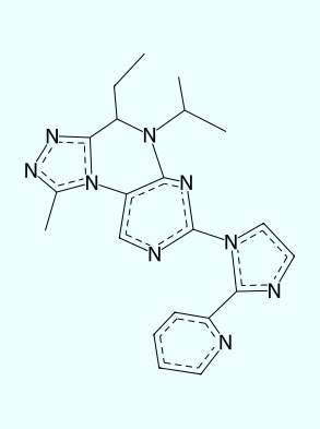 CCC1c2nnc(C)n2-c2cnc(-n3ccnc3-c3ccccn3)nc2N1C(C)C